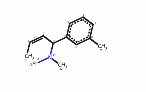 C/C=C\C(c1cccc(C)c1)N(C)CCC